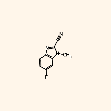 Cn1c(C#N)nc2ccc(F)cc21